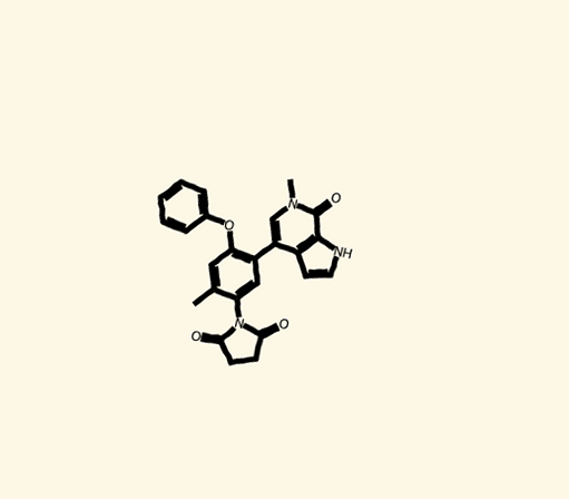 Cc1cc(Oc2ccccc2)c(-c2cn(C)c(=O)c3[nH]ccc23)cc1N1C(=O)CCC1=O